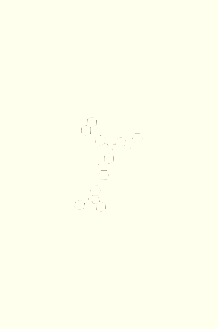 CC1(C)c2ccccc2-c2ccc(N(c3ccc(-c4cccc5ccccc45)cc3)c3ccc4c(c3)C(C)(C)c3cc(-c5ccc6c(c5)c5ccccc5n6-c5ccccc5)ccc3-4)cc21